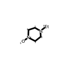 CCN1CCN([O])CC1